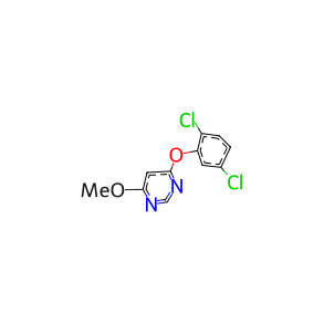 COc1cc(Oc2cc(Cl)ccc2Cl)ncn1